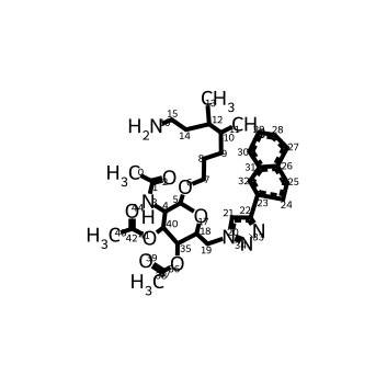 CC(=O)NC1C(OCCCC(C)C(C)CCN)OC(Cn2cc(-c3ccc4ccccc4c3)nn2)C(OC(C)=O)C1OC(C)=O